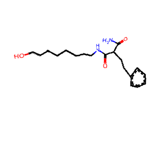 NC(=O)C(CCc1ccccc1)C(=O)NCCCCCCCCO